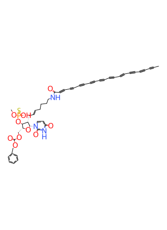 CC#CC#CC#CC#CC#CC#CC#CC#CC#CC#CC(=O)NCCCC/C=C/C[C@H]1C(OP(O)(=S)OC)[C@@H](COC(=O)OCc2ccccc2)O[C@H]1n1ccc(=O)[nH]c1=O